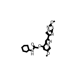 COc1cc(OCC(=O)NC2CCCCC2)c2cc(-c3cn4nc(OC)sc4n3)nn2c1